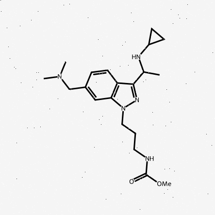 COC(=O)NCCCn1nc(C(C)NC2CC2)c2ccc(CN(C)C)cc21